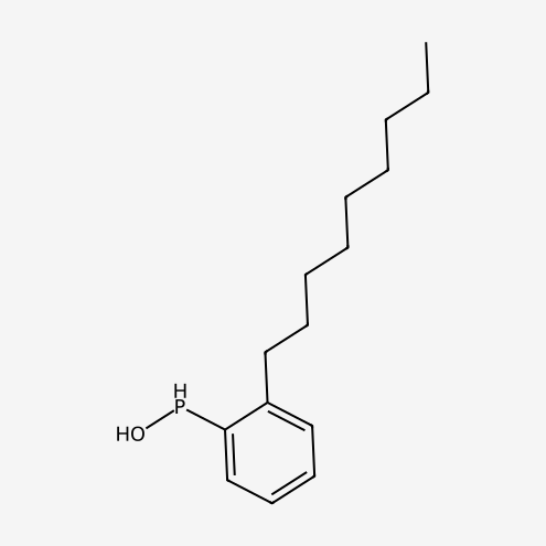 CCCCCCCCCc1ccccc1PO